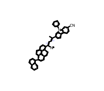 C=N/C(=C\C=C(/C)c1ccc2c3ccc(C#N)cc3n(-c3ccccc3)c2c1)c1ccc2ccc3c(-c4cccc5ccccc45)ccc4ccc1c2c43